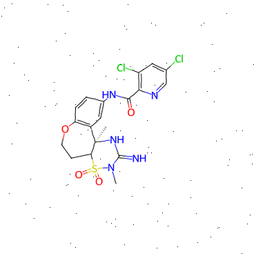 CN1C(=N)N[C@]2(C)c3cc(NC(=O)c4ncc(Cl)cc4Cl)ccc3OCCC2S1(=O)=O